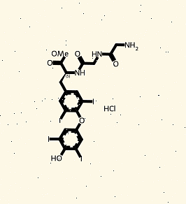 COC(=O)[C@H](Cc1cc(I)c(Oc2cc(I)c(O)c(I)c2)c(I)c1)NC(=O)CNC(=O)CN.Cl